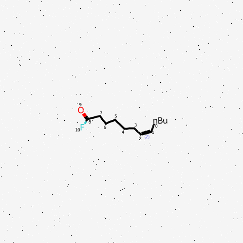 CCCC/C=C\CCCCCC(=O)F